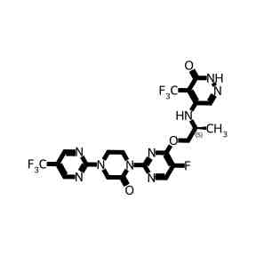 C[C@@H](COc1nc(N2CCN(c3ncc(C(F)(F)F)cn3)CC2=O)ncc1F)Nc1cn[nH]c(=O)c1C(F)(F)F